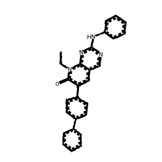 CCn1c(=O)c(-c2ccc(-c3ccccc3)cc2)cc2cnc(Nc3ccccc3)nc21